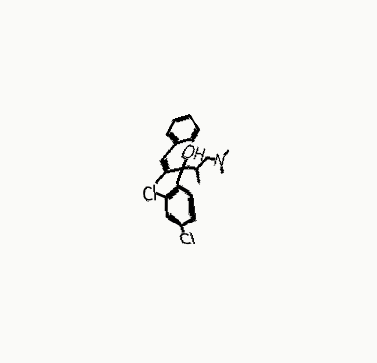 CC(=Cc1ccccc1)C(O)(c1ccc(Cl)cc1Cl)C(C)CN(C)C